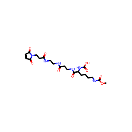 COC(=O)NCCCCC(NC(=O)O)C(=O)NCCC(=O)NCCNC(=O)CCN1C(=O)C=CC1=O